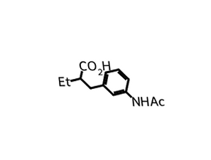 CCC(Cc1cccc(NC(C)=O)c1)C(=O)O